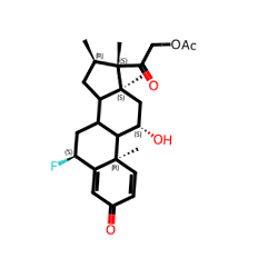 CC(=O)OCC(=O)[C@@]1(C)[C@H](C)CC2C3C[C@H](F)C4=CC(=O)C=C[C@]4(C)C3[C@@H](O)C[C@@]21C